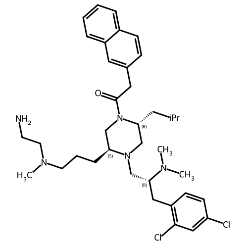 CC(C)C[C@@H]1CN(C[C@@H](Cc2ccc(Cl)cc2Cl)N(C)C)[C@@H](CCCN(C)CCN)CN1C(=O)Cc1ccc2ccccc2c1